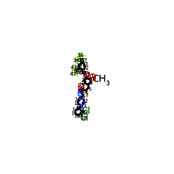 COc1cc(C=C2SC(N3CCN(c4cccc(Cl)c4Cl)CC3)=NC2=O)ccc1OCc1ccc(C(F)(F)F)cc1C(F)(F)F